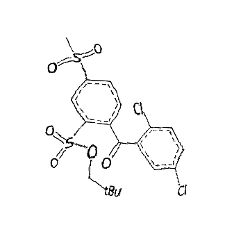 CC(C)(C)COS(=O)(=O)c1cc(S(C)(=O)=O)ccc1C(=O)c1cc(Cl)ccc1Cl